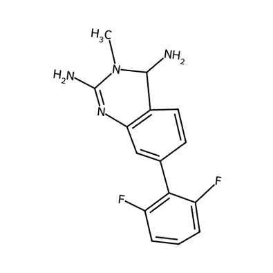 CN1C(N)=Nc2cc(-c3c(F)cccc3F)ccc2C1N